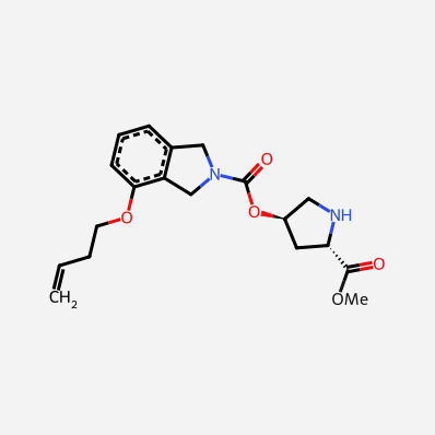 C=CCCOc1cccc2c1CN(C(=O)O[C@H]1CN[C@H](C(=O)OC)C1)C2